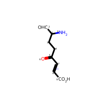 NC(C=O)CCC(=O)/C=C/C(=O)O